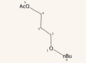 CCCCOCCCOC(C)=O